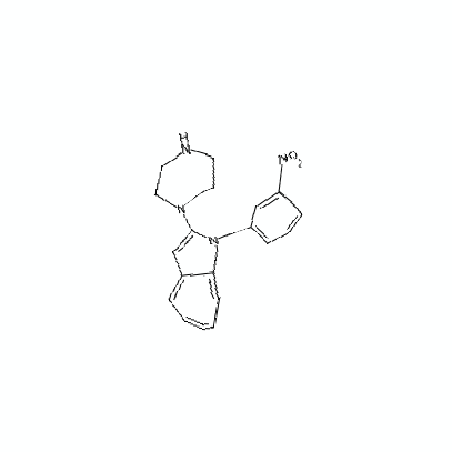 O=[N+]([O-])c1cccc(-n2c(N3CCNCC3)cc3ccccc32)c1